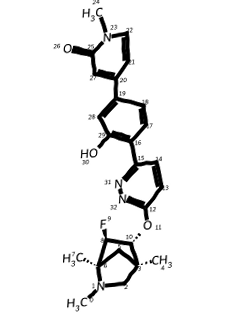 CN1C[C@@]2(C)C[C@]1(C)[C@@H](F)[C@@H]2Oc1ccc(-c2ccc(-c3ccn(C)c(=O)c3)cc2O)nn1